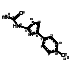 CCCCC(=O)Nc1nc(-c2ccc(C(F)(F)F)cc2)cs1